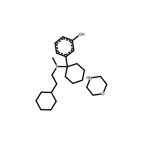 C1COCCN1.CN(CCC1CCCCC1)C1(c2cccc(O)c2)CCCCC1